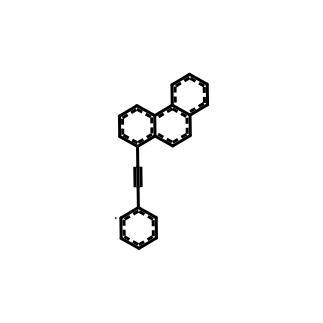 C(#Cc1cccc2c1ccc1ccccc12)c1[c]cccc1